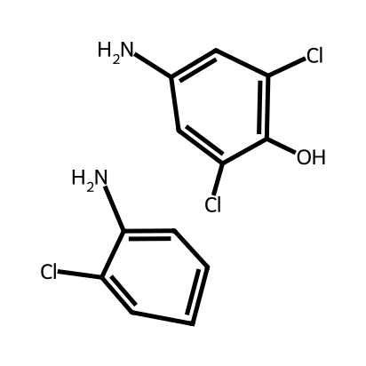 Nc1cc(Cl)c(O)c(Cl)c1.Nc1ccccc1Cl